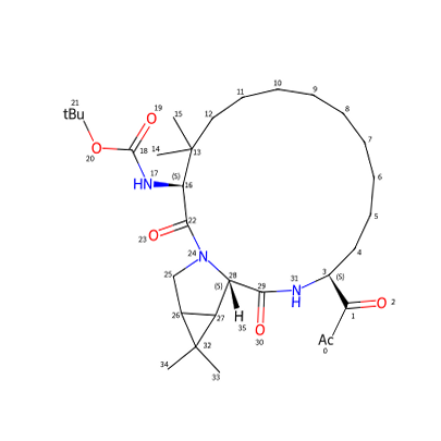 CC(=O)C(=O)[C@@H]1CCCCCCCCCC(C)(C)[C@H](NC(=O)OC(C)(C)C)C(=O)N2CC3C([C@H]2C(=O)N1)C3(C)C